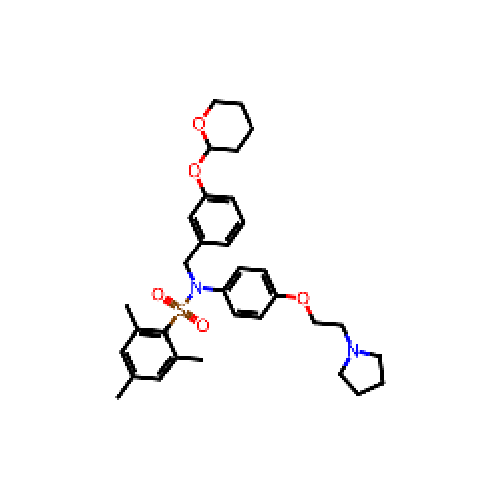 Cc1cc(C)c(S(=O)(=O)N(Cc2cccc(OC3CCCCO3)c2)c2ccc(OCCN3CCCC3)cc2)c(C)c1